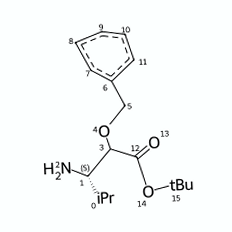 CC(C)[C@H](N)C(OCc1ccccc1)C(=O)OC(C)(C)C